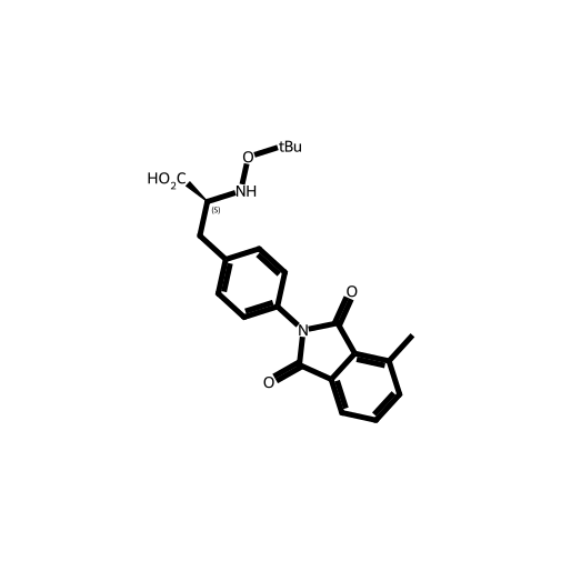 Cc1cccc2c1C(=O)N(c1ccc(C[C@H](NOC(C)(C)C)C(=O)O)cc1)C2=O